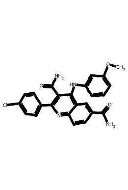 COc1cccc(Nc2c(C(N)=O)c(-c3ccc(Cl)cc3)nc3ccc(C(N)=O)cc23)c1